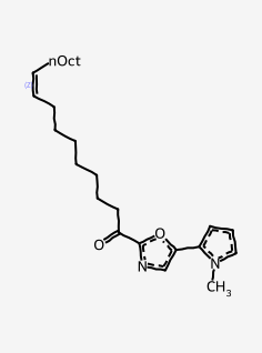 CCCCCCCC/C=C\CCCCCCCC(=O)c1ncc(-c2cccn2C)o1